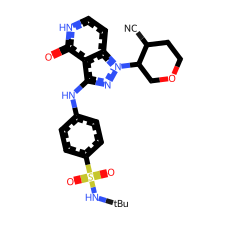 CC(C)(C)NS(=O)(=O)c1ccc(Nc2nn(C3COCCC3C#N)c3cc[nH]c(=O)c23)cc1